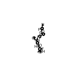 Cc1n[nH]c2c(F)cc(NC(=O)c3ccc4c(c3)nc(CN3CC=C(c5cccc6c5O[C@@](C)(c5ccc(C#N)cc5F)O6)CC3)n4CC3CCO3)cc12